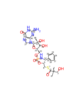 CC(C)(CO)C(=O)SCCOP(=O)(NCc1ccccc1)OC[C@H]1OC(n2cnc3c(=O)[nH]c(N)nc32)[C@](C)(O)[C@@H]1O